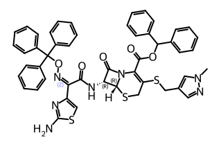 Cn1cc(CSC2=C(C(=O)OC(c3ccccc3)c3ccccc3)N3C(=O)[C@@H](NC(=O)/C(=N\OC(c4ccccc4)(c4ccccc4)c4ccccc4)c4csc(N)n4)[C@H]3SC2)cn1